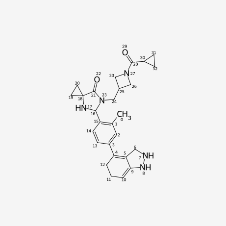 Cc1cc(C2=C3CNNC3=CCC2)ccc1C1NC2(CC2)C(=O)N1CC1CN(C(=O)C2CC2)C1